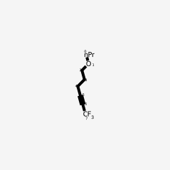 [CH2]CCOCCCC#CC(F)(F)F